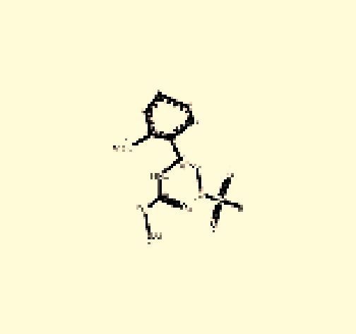 COc1ccccc1[C@H](COS(C)(=O)=O)NC(=O)OC(C)(C)C